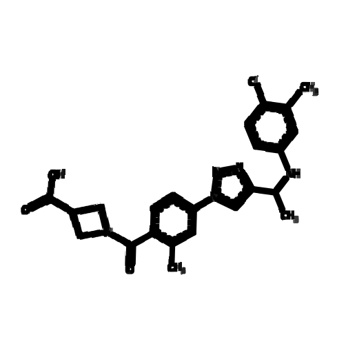 Cc1cc(NC(C)c2cn(-c3ccc(C(=O)N4CC(C(=O)O)C4)c(C)c3)nn2)ccc1Cl